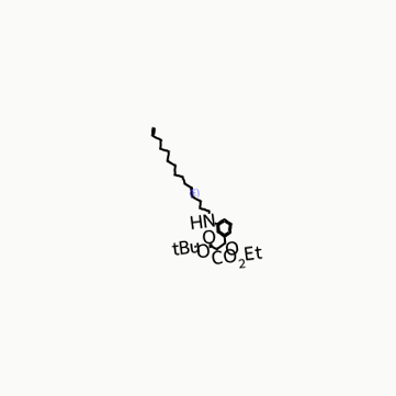 C=CCCCCCCCC/C=C/CCCNc1cccc(C(=O)C(C(=O)OCC)C(=O)OC(C)(C)C)c1